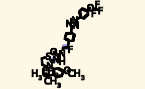 COc1ccc(C(C)C)c(N2/C(=N/C(=O)N/C=C(\F)c3ccc(-c4ncn(-c5ccc(OC(F)(F)F)cc5)n4)cc3)SCCC2C)c1